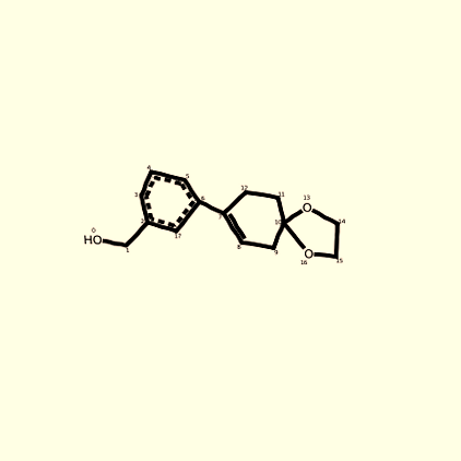 OCc1cccc(C2=CCC3(CC2)OCCO3)c1